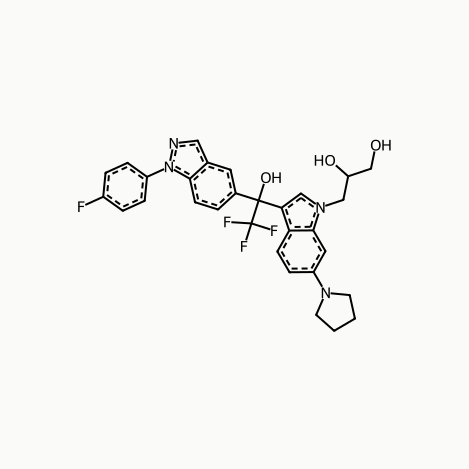 OCC(O)Cn1cc(C(O)(c2ccc3c(cnn3-c3ccc(F)cc3)c2)C(F)(F)F)c2ccc(N3CCCC3)cc21